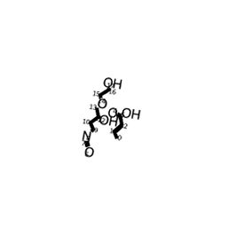 CC=CC(=O)O.O=C=NCCC(O)COCCO